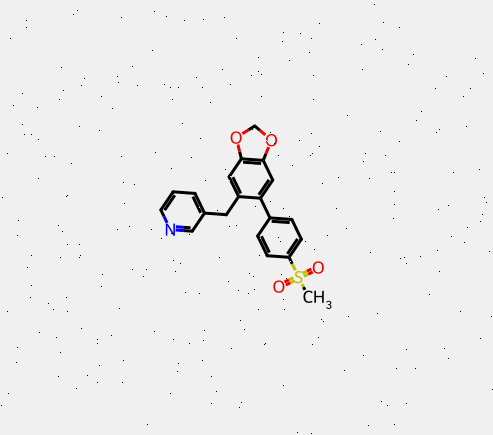 CS(=O)(=O)c1ccc(-c2cc3c(cc2Cc2cccnc2)OCO3)cc1